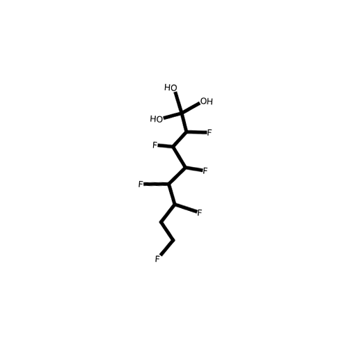 OC(O)(O)C(F)C(F)C(F)C(F)C(F)CCF